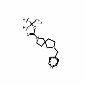 CC(C)(C)OC(=O)N1CCC2(CCN(Cc3ccncc3)C2)C1